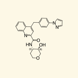 O=C(N[C@H]1CCOC[C@@H]1O)c1cc(Cc2ccc(-n3cccn3)cc2)c2ccccc2n1